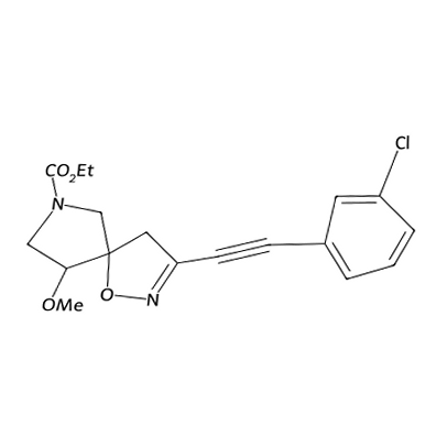 CCOC(=O)N1CC(OC)C2(CC(C#Cc3cccc(Cl)c3)=NO2)C1